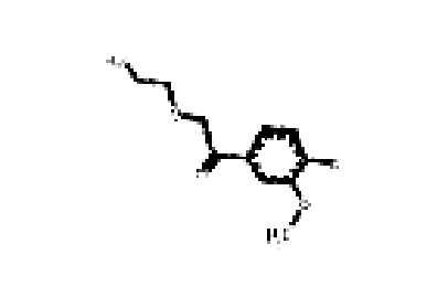 CCCOCC(=O)c1ccc(Cl)c(OC)c1